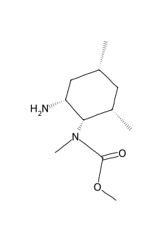 COC(=O)N(C)[C@@H]1[C@H](N)C[C@H](C)C[C@@H]1C